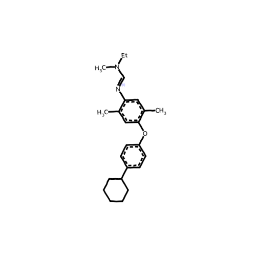 CCN(C)/C=N/c1cc(C)c(Oc2ccc(C3CCCCC3)cc2)cc1C